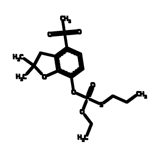 CCCSP(=O)(OCC)Oc1ccc(S(C)(=O)=O)c2c1OC(C)(C)C2